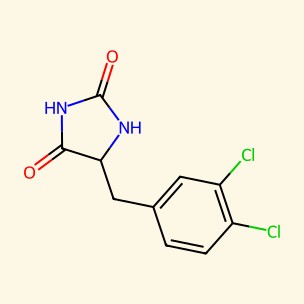 O=C1NC(=O)C(Cc2ccc(Cl)c(Cl)c2)N1